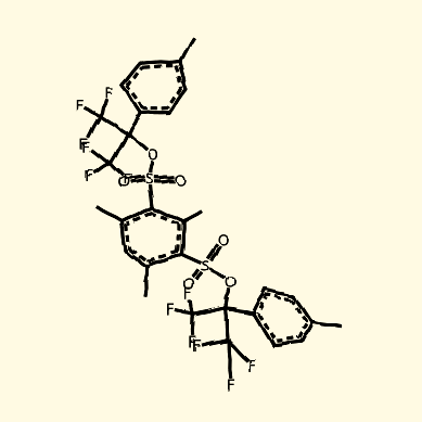 Cc1ccc(C(OS(=O)(=O)c2c(C)cc(C)c(S(=O)(=O)OC(c3ccc(C)cc3)(C(F)(F)F)C(F)(F)F)c2C)(C(F)(F)F)C(F)(F)F)cc1